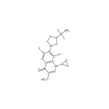 CC(C)(N)C1CCN(c2c(F)cc3c(=O)c(C(=O)O)cn(C4CC4)c3c2F)C1